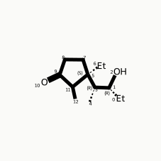 CC[C@@H](O)[C@H](C)[C@]1(CC)CCC(=O)C1C